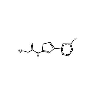 NCC(=O)NC1=NC(c2cccc(Br)c2)=CC1